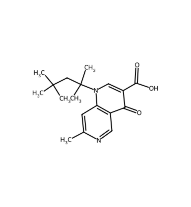 Cc1cc2c(cn1)c(=O)c(C(=O)O)cn2C(C)(C)CC(C)(C)C